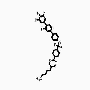 CCCCCC1COC(C2CC=C(C(F)(F)Oc3ccc(-c4ccc(-c5cc(F)c(F)c(F)c5)c(F)c4)cc3)CC2)OC1